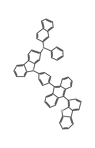 c1ccc(N(c2ccc3ccccc3c2)c2ccc3c4ccccc4n(-c4ccc(-c5c6ccccc6c(-c6cccc7c6oc6ccccc67)c6ccccc56)cc4)c3c2)cc1